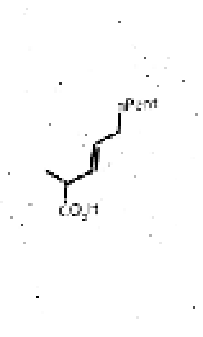 CCCCCCC=CC(C)C(=O)O